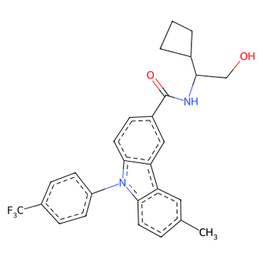 Cc1ccc2c(c1)c1cc(C(=O)NC(CO)C3CCC3)ccc1n2-c1ccc(C(F)(F)F)cc1